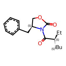 CC[C@H](C(=O)N1C(=O)OC[C@@H]1Cc1ccccc1)[C@@H](C)CC